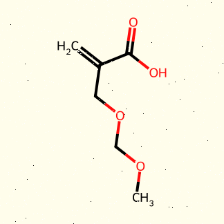 C=C(COCOC)C(=O)O